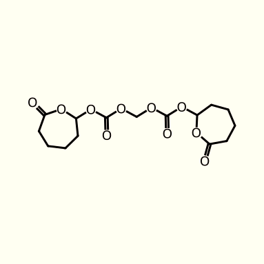 O=C1CCCCC(OC(=O)OCOC(=O)OC2CCCCC(=O)O2)O1